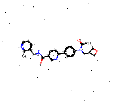 CC(=O)N(CC1COC1)c1ccc(-c2ccc(C(=O)NCc3cccnc3C)cn2)cc1